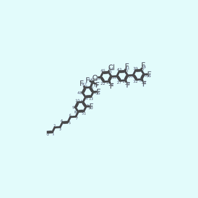 C=CCC/C=C/CCc1ccc(-c2cc(F)c(C(F)(F)Oc3cc(F)c(-c4cc(F)c(-c5cc(F)c(F)c(F)c5)c(F)c4)c(Cl)c3)c(F)c2)c(F)c1